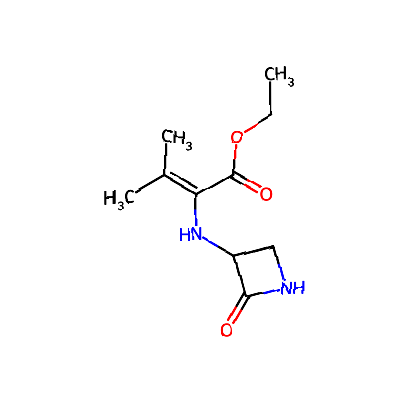 CCOC(=O)C(NC1CNC1=O)=C(C)C